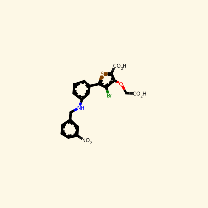 O=C(O)COc1c(C(=O)O)sc(-c2cccc(NCc3cccc([N+](=O)[O-])c3)c2)c1Br